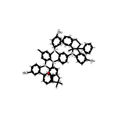 Cc1cc2c3c(c1)N(c1ccc(C(C)(C)C)cc1-c1ccccc1)c1cc4c(cc1B3c1ccc(N3c5ccc(C(C)(C)C)cc5C5(c6ccccc6)CCc6ccccc6C35C)cc1N2c1ccc(C(C)(C)C)cc1)CC(C)(C)C4